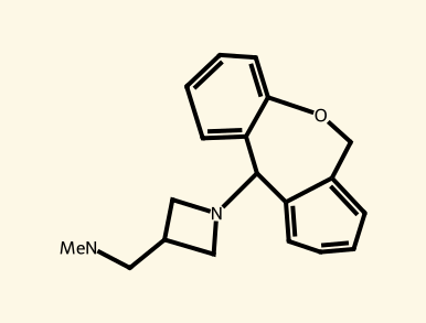 CNCC1CN(C2c3ccccc3COc3ccccc32)C1